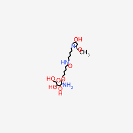 COC[C@@H]1C[C@@H](O)CN1CCCCCCNC(=O)CCCCCO[C@@H]1OC(CO)[C@H](O)C(O)[C@@H]1N